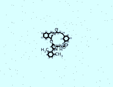 Cc1cccc(C)c1-c1cc2nc(n1)NS(=O)(=O)c1cccc(c1)CCC(=O)N1Cc3ccccc3C(C1)O2